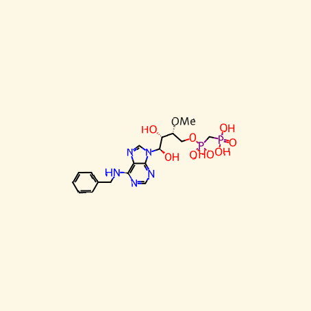 CO[C@H](COP(=O)(O)CP(=O)(O)O)[C@@H](O)[C@@H](O)n1cnc2c(NCc3ccccc3)ncnc21